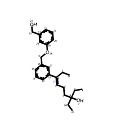 CC/C(=C\CCC(O)(CC)CC)c1cccc(COc2cccc(CO)c2)c1